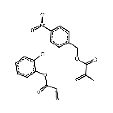 C=C(C)C(=O)OCc1ccc([N+](=O)[O-])cc1.C=CC(=O)Oc1ccccc1Cl